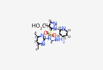 Cc1cc(C)nc(N(CN)S(=O)(=O)c2c(C(=O)O)cnn2-c2ccccn2)n1